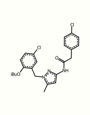 Cc1cc(NC(=O)Cc2ccc(Cl)cc2)nn1Cc1cc(Cl)ccc1OCC(C)C